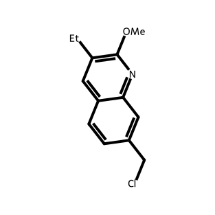 CCc1cc2ccc(CCl)cc2nc1OC